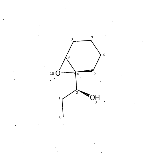 CC[C@H](O)[C@@]12CCCCC1O2